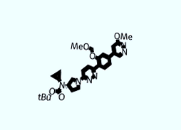 COCOc1cc(-c2cnnc(OC)c2)ccc1-c1ccc(N2CC[C@H](N(C(=O)OC(C)(C)C)C3CC3)C2)nn1